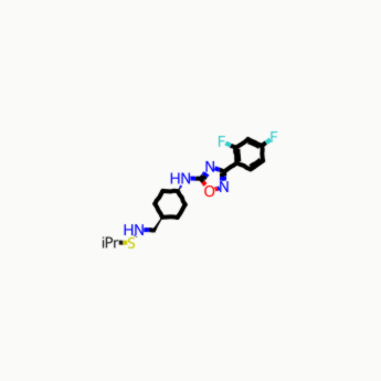 CC(C)SNC[C@H]1CC[C@H](Nc2nc(-c3ccc(F)cc3F)no2)CC1